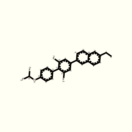 CCc1ccc2cc(-c3cc(F)c(-c4ccc(OC(F)F)cc4)c(F)c3)ccc2c1